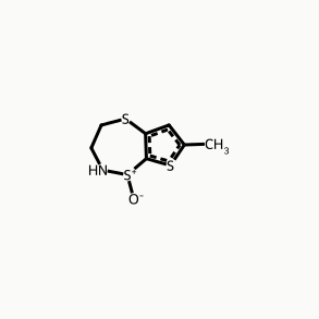 Cc1cc2c(s1)[S+]([O-])NCCS2